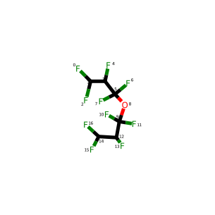 FC(F)C(F)C(F)(F)OC(F)(F)C(F)C(F)F